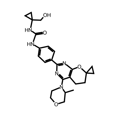 CC1COCCN1c1nc(-c2ccc(NC(=O)NC3(CO)CC3)cc2)nc2c1CCC1(CC1)O2